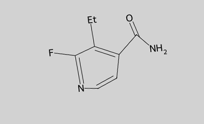 CCc1c(C(N)=O)ccnc1F